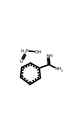 N=C(N)c1ccccc1.O=[PH2]O